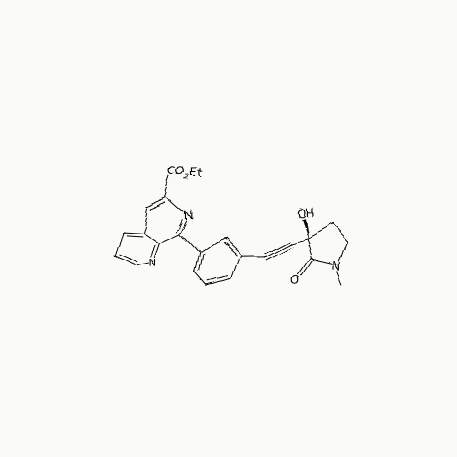 CCOC(=O)c1cc2cccnc2c(-c2cccc(C#C[C@]3(O)CCN(C)C3=O)c2)n1